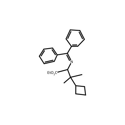 CCOC(=O)C(N=C(c1ccccc1)c1ccccc1)C(C)(C)C1CCC1